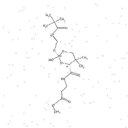 COC(=O)CCNC(=O)[C@@H]1O[PH](O)(OCOC(=O)C(C)(C)C)OCC1(C)C